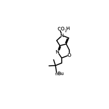 CCCCC(C)(C)CC1N=C2CN(C(=O)O)C=C2CO1